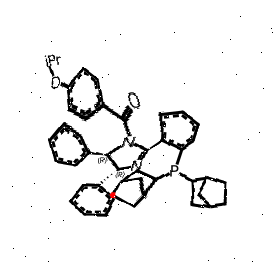 CC(C)Oc1ccc(C(=O)N2C(c3ccccc3P(C3CC4CCC3C4)C3CC4CCC3C4)=N[C@H](c3ccccc3)[C@H]2c2ccccc2)cc1